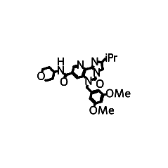 COc1cc(CN2C(=O)N3CC(C(C)C)N=C3c3ncc(C(=O)NC4CCOCC4)cc32)cc(OC)c1